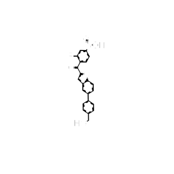 O=C(c1cc2cc(-c3ccc(CO)cc3)ccc2o1)c1ccc(S(=O)O)cc1F